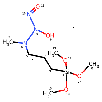 CO[Si](CCCN(C)N(O)N=O)(OC)OC